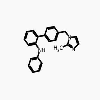 Cc1nccn1Cc1ccc(-c2ccccc2Nc2ccccc2)cc1